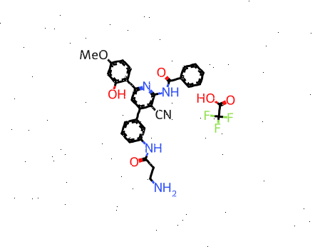 COc1ccc(-c2cc(-c3cccc(NC(=O)CCN)c3)c(C#N)c(NC(=O)c3ccccc3)n2)c(O)c1.O=C(O)C(F)(F)F